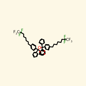 FC(F)(F)C(F)(F)CCCCCCc1ccc(C(OC(c2ccccc2)(c2ccccc2)c2ccc(CCCCCCC(F)(F)C(F)(F)F)cc2)(c2ccccc2)c2ccccc2)cc1